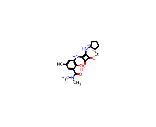 CC[C@H]1CCC[C@@H]1Nc1c(Nc2cc(C#N)cc(C(=O)N(C)C)c2O)c(=O)c1=O